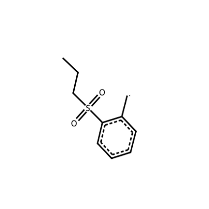 [CH2]c1ccccc1S(=O)(=O)CCC